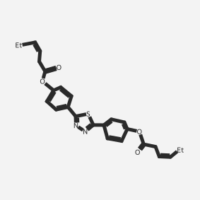 CC/C=C\CC(=O)Oc1ccc(-c2nnc(-c3ccc(OC(=O)C/C=C\CC)cc3)s2)cc1